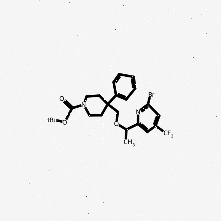 CC(OCC1(c2ccccc2)CCN(C(=O)OC(C)(C)C)CC1)c1cc(C(F)(F)F)cc(Br)n1